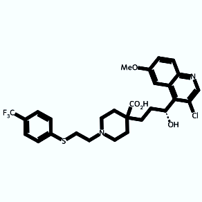 COc1ccc2ncc(Cl)c([C@H](O)CCC3(C(=O)O)CCN(CCSc4ccc(C(F)(F)F)cc4)CC3)c2c1